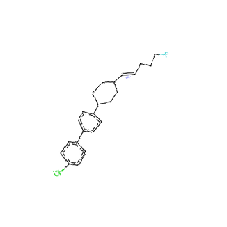 FCCC/C=C/C1CCC(c2ccc(-c3ccc(Cl)cc3)cc2)CC1